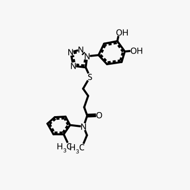 CCN(C(=O)CCCSc1nnnn1-c1ccc(O)c(O)c1)c1ccccc1C